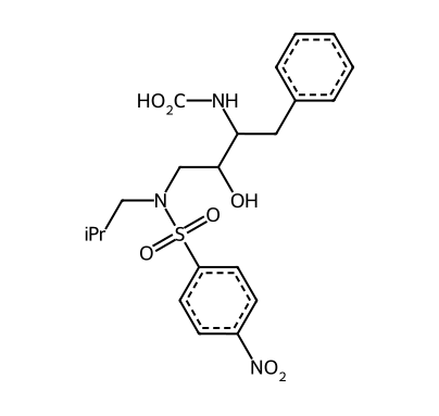 CC(C)CN(CC(O)C(Cc1ccccc1)NC(=O)O)S(=O)(=O)c1ccc([N+](=O)[O-])cc1